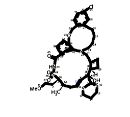 COCC[C@@H]1[C@@H](C)C/C=C/[C@@](O)(C2SCCCS2)[C@@H]2CCC2CN2CCCCc3cc(Cl)ccc3COc3ccc(cc32)C(=O)NS1(=O)=O